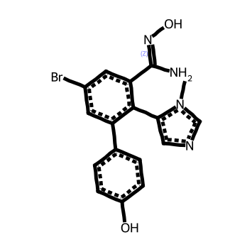 Cn1cncc1-c1c(/C(N)=N/O)cc(Br)cc1-c1ccc(O)cc1